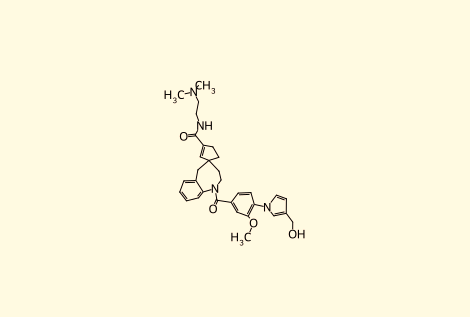 COc1cc(C(=O)N2CCC3(C=C(C(=O)NCCN(C)C)CC3)Cc3ccccc32)ccc1-n1ccc(CO)c1